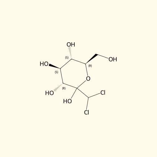 OC[C@H]1OC(O)(C(Cl)Cl)[C@H](O)[C@@H](O)[C@@H]1O